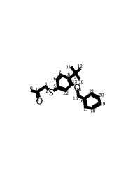 CC(=O)CSc1ccc(C(C)(C)C)c(OCc2ccccc2)c1